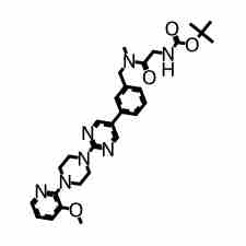 COc1cccnc1N1CCN(c2ncc(-c3cccc(CN(C)C(=O)CNC(=O)OC(C)(C)C)c3)cn2)CC1